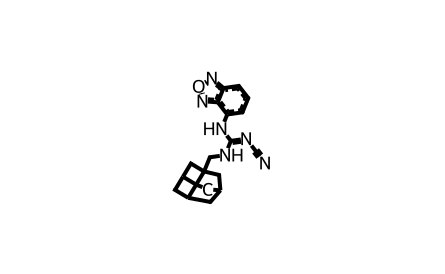 N#C/N=C(\NCC12CC3CC4CC(C1)C42C3)Nc1cccc2nonc12